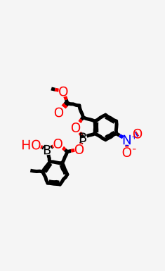 COC(=O)CC1OB(OC2OB(O)c3c(C)cccc32)c2cc([N+](=O)[O-])ccc21